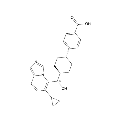 O=C(O)c1ccc([C@H]2CC[C@H]([C@H](O)c3c(C4CC4)ccc4cncn34)CC2)cc1